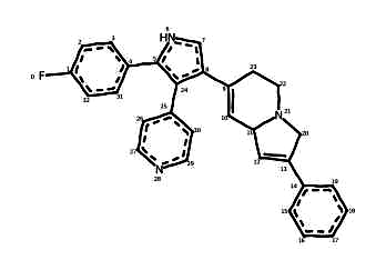 Fc1ccc(-c2[nH]cc(C3=CC4C=C(c5ccccc5)CN4CC3)c2-c2ccncc2)cc1